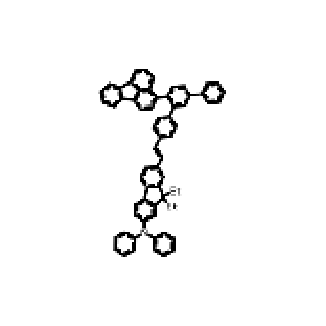 CCC1(CC)c2cc(/C=C/c3ccc(-c4cc(-c5ccccc5)ccc4-c4ccc5c6c(cccc46)-c4ccccc4-5)cc3)ccc2-c2ccc(N(c3ccccc3)c3ccccc3)cc21